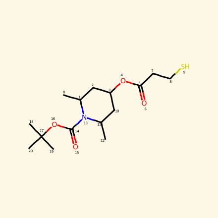 CC1CC(OC(=O)CCS)CC(C)N1C(=O)OC(C)(C)C